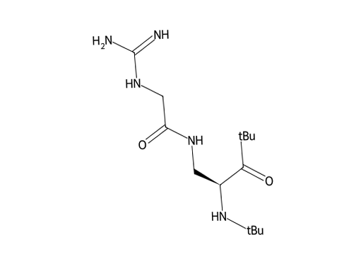 CC(C)(C)N[C@@H](CNC(=O)CNC(=N)N)C(=O)C(C)(C)C